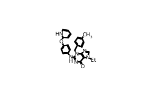 CCn1cnc2c1c(=O)nc(Nc1ccc(OC3C=CC=CN3)cc1)n2Cc1ccc(C)cc1